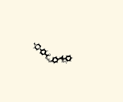 CN1CCN(c2ccc(C(=O)N=[N+]=Nc3ccc(C4CC4(N)c4ccccc4)cc3)cc2)CC1